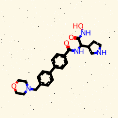 O=C(NC(C(=O)NO)C1CCNC1)c1ccc(-c2ccc(CN3CCOCC3)cc2)cc1